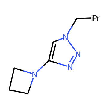 CC(C)Cn1cc(N2CCC2)nn1